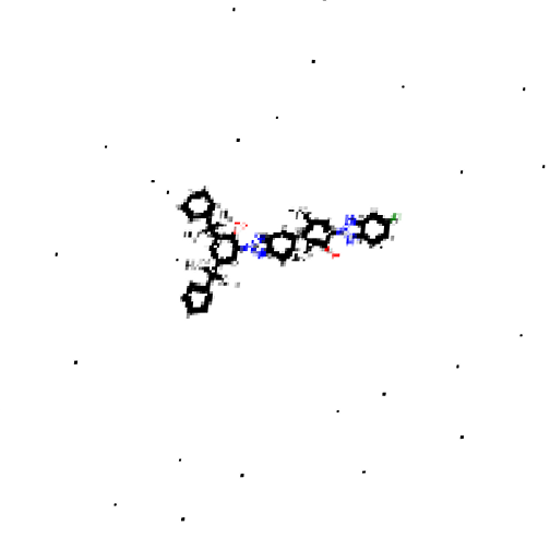 CC(C)(c1ccccc1)c1cc(-n2nc3ccccc3n2)c(O)c(C(C)(C)c2ccccc2)c1.Cc1cc(-n2nc3ccc(Cl)cc3n2)c(O)c(C(C)(C)C)c1